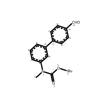 CN(C(=O)OC(C)(C)C)c1cccc(-c2ccc(C=O)cc2)c1